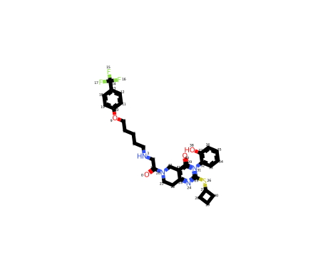 O=C(CNCCCCCOc1ccc(C(F)(F)F)cc1)N1CCc2nc(SC3CCC3)n(-c3ccccc3O)c(=O)c2C1